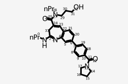 CCCNC1=Nc2cc(-c3ccc(C(=O)N4CCCC4)cc3)ccc2C=C(C(=O)N(CCC)CCCO)C1